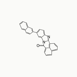 O=c1c2cccc3cccc(c32)c2nc3ccc(-c4ccc5ccccc5c4)cc3n12